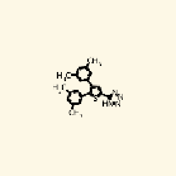 Cc1cc(C)cc(-c2cc(-c3nnn[nH]3)sc2-c2cc(C)cc(C)c2)c1